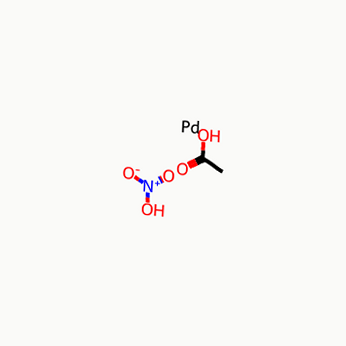 CC(=O)O.O=[N+]([O-])O.[Pd]